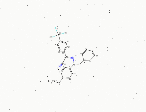 CCc1ccc([C@@H](Cc2ccccc2)/N=C(\C#N)c2ccc(C(F)(F)F)cc2)cc1